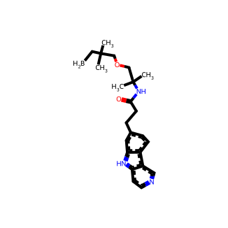 BCC(C)(C)COCC(C)(C)NC(=O)CCc1ccc2c(c1)[nH]c1ccncc12